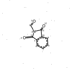 O=[C]N1C(=O)c2ccccc2C1=O